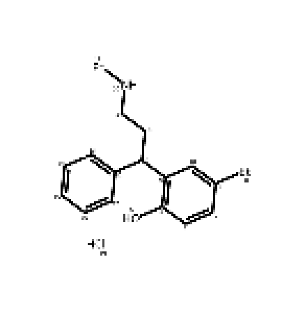 CCc1ccc(O)c(C(CCNC(C)C)c2ccccc2)c1.Cl